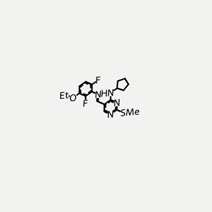 CCOc1ccc(F)c(N=Cc2cnc(SC)nc2NC2CCCC2)c1F